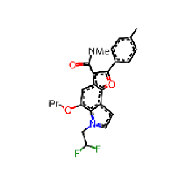 CNC(=O)c1c(-c2ccc(C)cc2)oc2c1cc(OC(C)C)c1c2ccn1CC(F)F